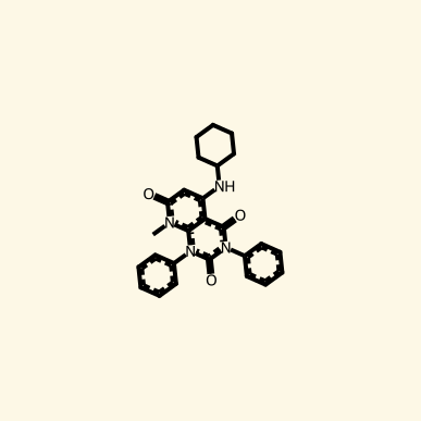 Cn1c(=O)cc(NC2CCCCC2)c2c(=O)n(-c3ccccc3)c(=O)n(-c3ccccc3)c21